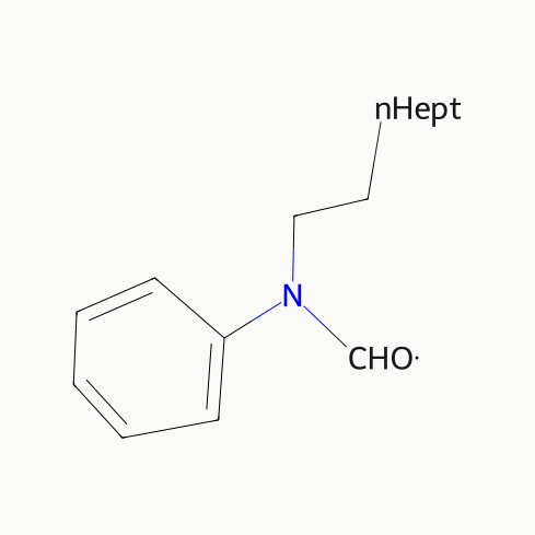 CCCCCCCCCN([C]=O)c1ccccc1